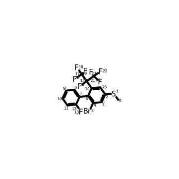 CSc1[c]c(Br)c(-c2ccccc2F)c(C(F)(C(F)(F)F)C(F)(F)F)c1